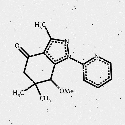 COC1c2c(c(C)nn2-c2ccccn2)C(=O)CC1(C)C